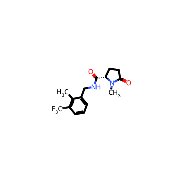 Cc1c(CNC(=O)[C@@H]2CCC(=O)N2C)cccc1C(F)(F)F